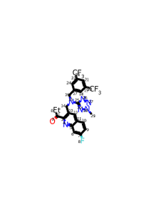 CCC(=O)c1nc2cc(F)ccc2cc1CN(Cc1cc(C(F)(F)F)cc(C(F)(F)F)c1)c1nnn(C)n1